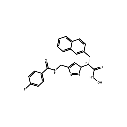 O=C(NCc1cn([C@H](Cc2ccc3ccccc3c2)C(=O)NO)nn1)c1ccc(F)cc1